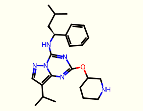 CC(C)C[C@H](Nc1nc(OC2CCCNC2)nc2c(C(C)C)cnn12)c1ccccc1